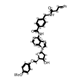 COc1ccc(OC[C@H]2O[C@@H](n3cnc4c(NC(=O)c5ccc(CNC(=O)CCC(C)C)cc5)ncnc43)CC2O)cc1